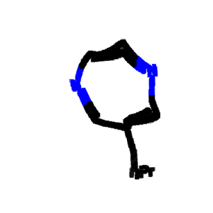 CCCC1=CN=C=CN=C1